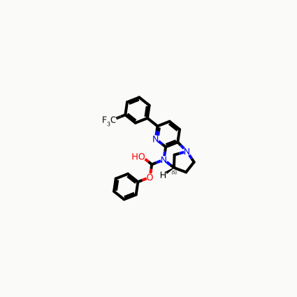 OC(Oc1ccccc1)N1c2nc(-c3cccc(C(F)(F)F)c3)ccc2N2CC[C@H]1C2